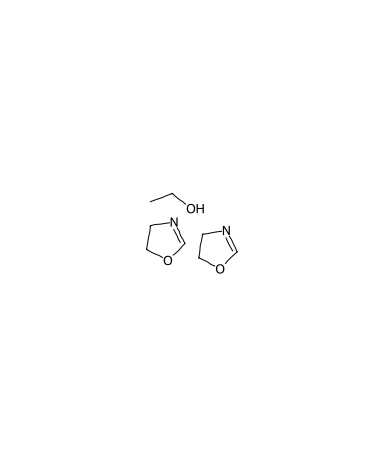 C1=NCCO1.C1=NCCO1.CCO